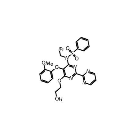 COc1ccccc1Oc1c(OCCO)nc(-c2ncccn2)nc1N(CC(C)C)S(=O)(=O)c1ccccc1